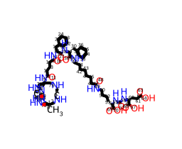 CC12CNCCNCC(NC(=O)CCCC(=O)NC(Cc3ccccc3)C(=O)N[C@H](Cc3ccccc3)C(=O)NCCCCCCCC(=O)NCCCC[C@H](NC(=O)N[C@@H](CCC(=O)O)C(=O)O)C(=O)O)(CNCCNC1)CNCCNC2